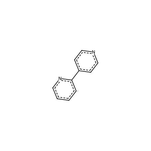 [c]1cccnc1-c1ccncc1